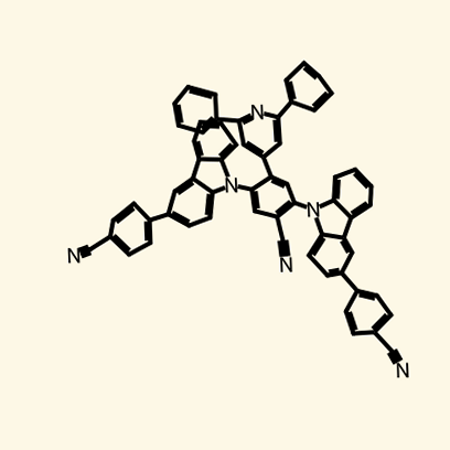 N#Cc1ccc(-c2ccc3c(c2)c2ccccc2n3-c2cc(-c3cc(-c4ccccc4)nc(-c4ccccc4)c3)c(-n3c4ccccc4c4cc(-c5ccc(C#N)cc5)ccc43)cc2C#N)cc1